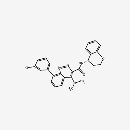 CN(C)c1c(C(=O)N[C@H]2CCOc3ccccc32)nnc2c(-c3cccc(Cl)c3)cccc12